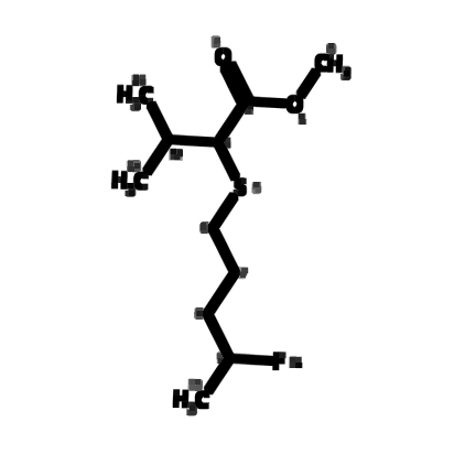 COC(=O)C(SCCCC(C)F)C(C)C